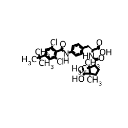 CC(C)(C)c1cc(Cl)c(C(=O)Nc2ccc(C[C@H](NC(=O)[C@H]3CC[C@@](C)(C(=O)O)C3(C)C)C(=O)O)cc2)c(Cl)c1